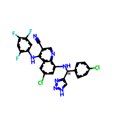 N#Cc1cnc2c(N[C@@H](c3ccc(Cl)cc3)c3c[nH]nn3)cc(Cl)cc2c1Nc1cc(F)c(F)cc1F